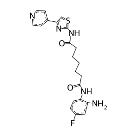 Nc1cc(F)ccc1NC(=O)CCCCCC(=O)Nc1nc(-c2ccncc2)cs1